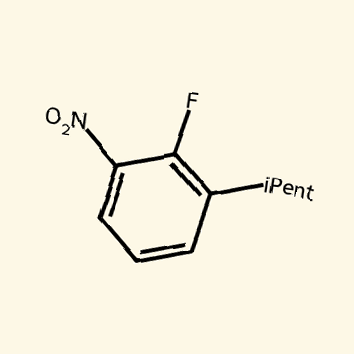 CCCC(C)c1cccc([N+](=O)[O-])c1F